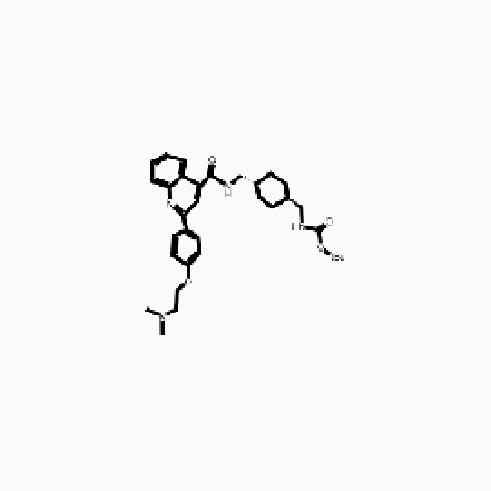 CN(C)CCOc1ccc(-c2cc(C(=O)NC[C@H]3CC[C@H](CNC(=O)OC(C)(C)C)CC3)c3ccccc3n2)cc1